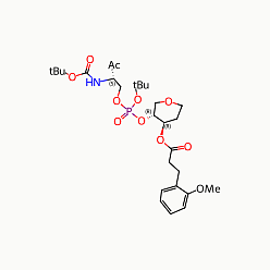 COc1ccccc1CCC(=O)O[C@@H]1CCOC[C@H]1OP(=O)(OC[C@H](NC(=O)OC(C)(C)C)C(C)=O)OC(C)(C)C